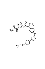 CC(=O)Nc1cc(C(=O)N[C@@H](C)c2ccc(OC3CCN(c4ccc(OCC5CC5)cc4)C3)cc2)on1